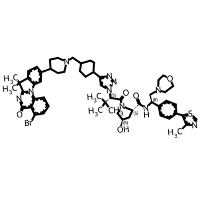 Cc1ncsc1-c1ccc([C@H](CN2CCOCC2)NC(=O)[C@@H]2C[C@@H](O)CN2C(=O)[C@@H](n2cc(C3CCC(CN4CCC(c5ccc6c(c5)-n5c(nc(=O)c7c(Br)cccc75)C6(C)C)CC4)CC3)nn2)C(C)(C)C)cc1